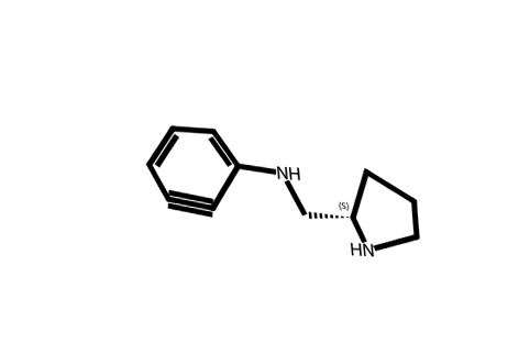 c1cccc(NC[C@@H]2CCCN2)c#1